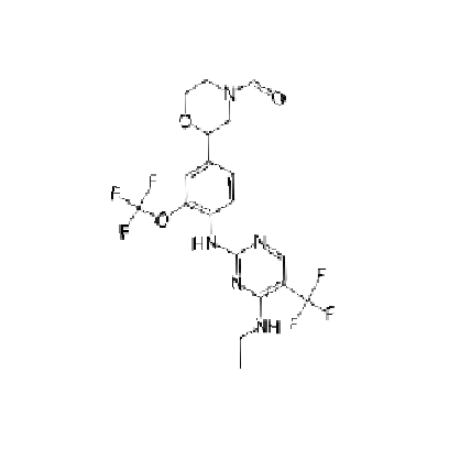 CCNc1nc(Nc2ccc(C3CN(C=O)CCO3)cc2OC(F)(F)F)ncc1C(F)(F)F